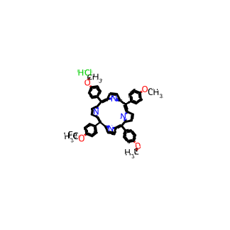 COc1ccc(C2=C3C=CC(=N3)C(c3ccc(OC)cc3)=C3C=CC(=N3)C(c3ccc(OC)cc3)=C3C=CC(=N3)C(c3ccc(OC)cc3)=C3C=CC2=N3)cc1.Cl.[Fe]